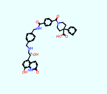 O=C(NCc1ccc(CNC[C@H](O)c2ccc(O)c3[nH]c(=O)ccc23)cc1)c1ccc(C(=O)N2CCC(C(=O)O)(c3ccccc3)CC2)cc1